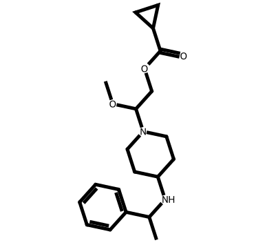 COC(COC(=O)C1CC1)N1CCC(NC(C)c2ccccc2)CC1